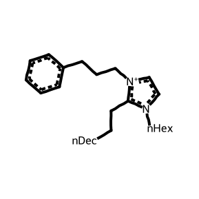 CCCCCCCCCCCCc1n(CCCCCC)cc[n+]1CCCc1ccccc1